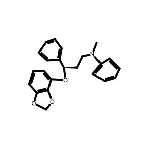 CN(CC[C@@H](Oc1cccc2c1OCO2)c1ccccc1)c1ccccc1